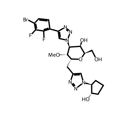 CO[C@@H]1[C@@H](n2cc(-c3ccc(Br)c(F)c3F)nn2)[C@@H](O)[C@@H](CO)O[C@@H]1Cc1cn([C@H]2CCC[C@@H]2O)nn1